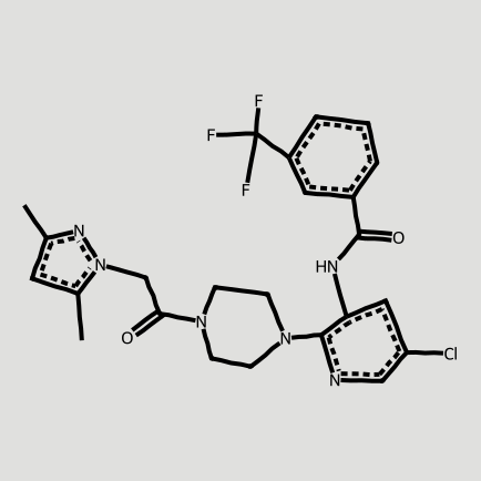 Cc1cc(C)n(CC(=O)N2CCN(c3ncc(Cl)cc3NC(=O)c3cccc(C(F)(F)F)c3)CC2)n1